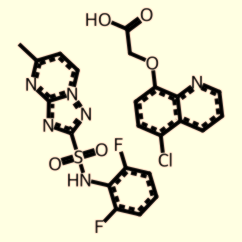 Cc1ccn2nc(S(=O)(=O)Nc3c(F)cccc3F)nc2n1.O=C(O)COc1ccc(Cl)c2cccnc12